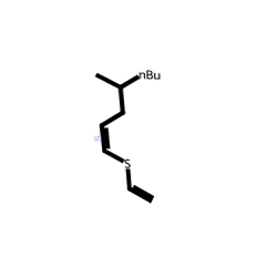 C=CS/C=C\CC(C)CCCC